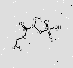 CCOC(=O)C(C)OS(=O)(=O)O